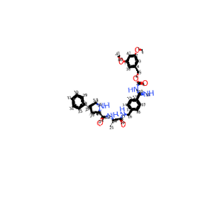 COc1cc(COC(=O)NC(=N)c2ccc(CNC(=O)[C@H](C)NC(=O)[C@H]3C[C@H](c4ccccc4)CN3)cc2)cc(OC)c1